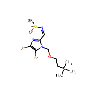 CC(C)(C)[S@+]([O-])/N=C\c1nc(Br)c(Br)n1COCC[Si](C)(C)C